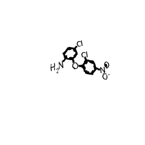 Nc1ccc(Cl)cc1Oc1ccc([N+](=O)[O-])cc1Cl